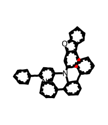 c1ccc(-c2ccc(N(c3ccc4c(c3)oc3ccccc34)c3c(-c4ccccc4)cccc3-c3ccccc3)cn2)cc1